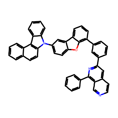 c1ccc(-c2nc(-c3cccc(-c4cccc5c4oc4ccc(-n6c7ccccc7c7c8ccccc8ccc76)cc45)c3)cc3ccncc23)cc1